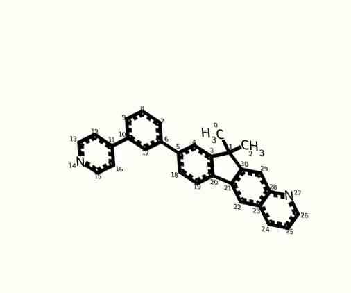 CC1(C)c2cc(-c3cccc(-c4ccncc4)c3)ccc2-c2cc3cccnc3cc21